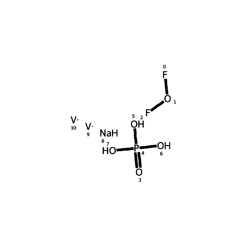 FOF.O=P(O)(O)O.[NaH].[V].[V]